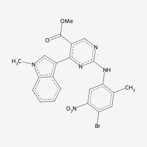 COC(=O)c1cnc(Nc2cc([N+](=O)[O-])c(Br)cc2C)nc1-c1cn(C)c2ccccc12